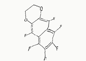 Fc1c(F)c(F)c2c(F)c3c(c(F)c2c1F)OCCO3